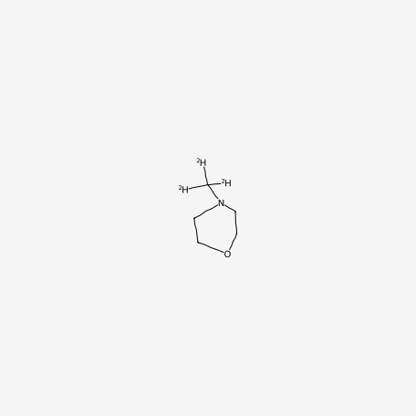 [2H]C([2H])([2H])N1CCOCC1